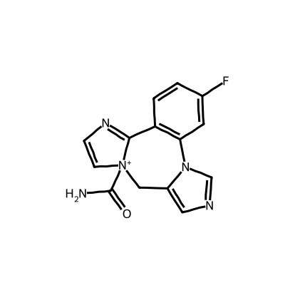 NC(=O)[N+]12C=CN=C1c1ccc(F)cc1-n1cncc1C2